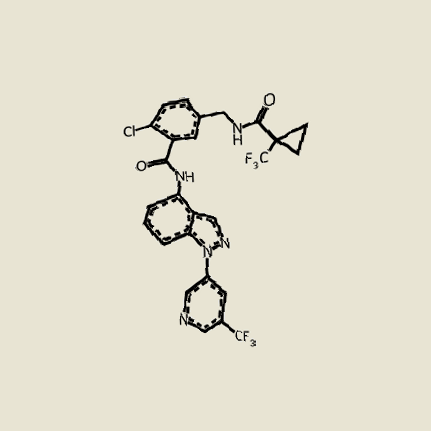 O=C(Nc1cccc2c1cnn2-c1cncc(C(F)(F)F)c1)c1cc(CNC(=O)C2(C(F)(F)F)CC2)ccc1Cl